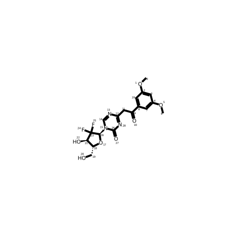 COc1cc(OC)cc(C(=O)Cc2ncn([C@H]3O[C@H](CO)[C@@H](O)C3(F)F)c(=O)n2)c1